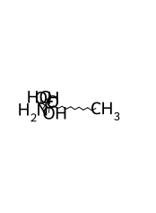 CCCCCCCCCCCC(O)C(N)(CO)C(=O)O